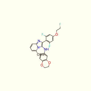 COc1cccc2nc(-c3c(F)cc(OCCF)cc3F)c(Nc3ccc4c(c3)OCCO4)n12